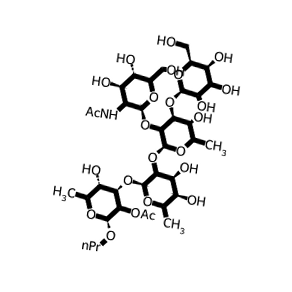 CCCO[C@@H]1OC(C)[C@H](O)[C@H](O[C@@H]2OC(C)[C@H](O)[C@H](O)C2O[C@@H]2OC(C)[C@H](O)[C@H](O[C@H]3O[C@@H](CO)[C@@H](O)C(O)C3O)C2O[C@@H]2OC(CO)[C@@H](O)[C@H](O)C2NC(C)=O)C1OC(C)=O